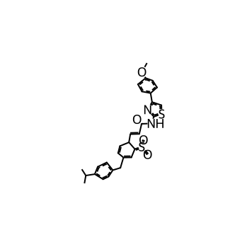 COc1ccc(-c2csc(NC(=O)C=CC3C=CC(Cc4ccc(C(C)C)cc4)=CC3=S(=O)=O)n2)cc1